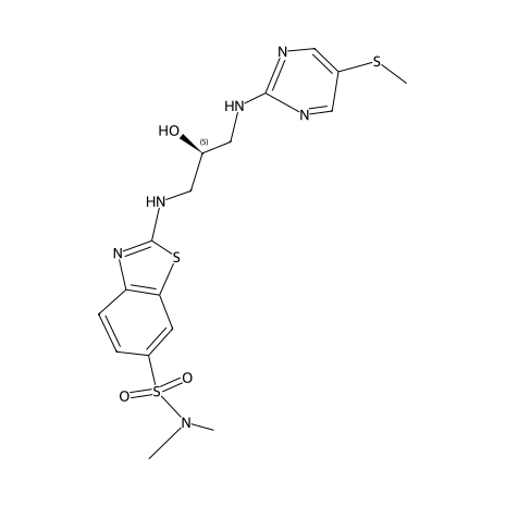 CSc1cnc(NC[C@H](O)CNc2nc3ccc(S(=O)(=O)N(C)C)cc3s2)nc1